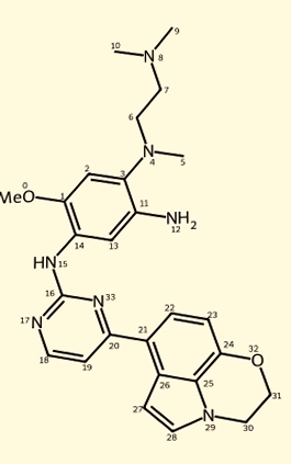 COc1cc(N(C)CCN(C)C)c(N)cc1Nc1nccc(-c2ccc3c4c2ccn4CCO3)n1